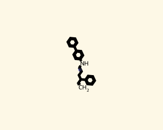 C=CC(C/C=C/Nc1ccc(-c2ccccc2)cc1)c1ccccc1